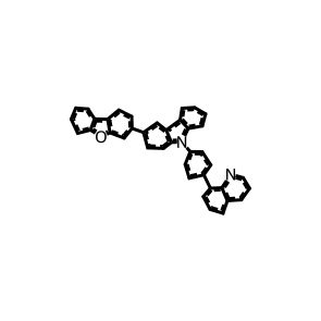 c1cnc2c(-c3ccc(-n4c5ccccc5c5cc(-c6ccc7c(c6)oc6ccccc67)ccc54)cc3)cccc2c1